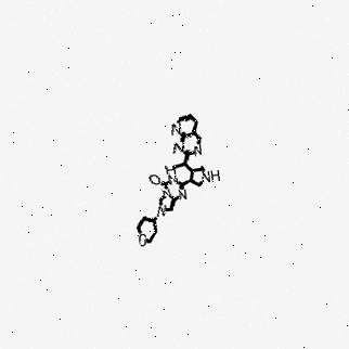 CC(c1ncc2cccnc2n1)C1CNCC1C1=NC2=CN(C3CCOCC3)CN2C(=O)N1